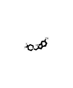 N#Cc1ccc2cc(CN3CCC(F)(F)CC3)[nH]c2c1